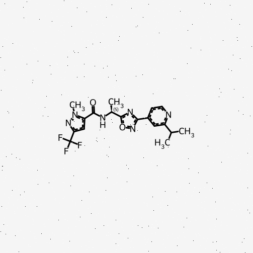 CC(C)c1cc(-c2noc([C@H](C)NC(=O)c3cc(C(F)(F)F)nn3C)n2)ccn1